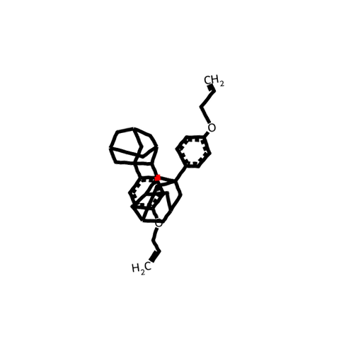 C=CCOc1ccc(C23CC4CC(CC(C4)C2C2C4CC5CC(C4)CC2(c2ccc(OCC=C)cc2)C5)C3)cc1